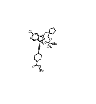 CC(C)(C)OC(=O)N1CCC(C#Cc2nn(CC3(CO[Si](C)(C)C(C)(C)C)CCCC3)c3cc(Cl)ncc23)CC1